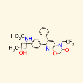 C[C@]1(O)C[C@](NC(=O)O)(c2ccc(-c3nc4c(cc3-c3ccccc3)N(CC(F)(F)F)C(=O)CO4)cc2)C1